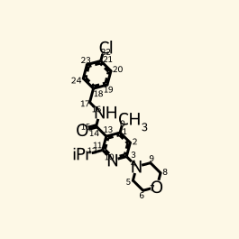 Cc1cc(N2CCOCC2)nc(C(C)C)c1C(=O)NCc1ccc(Cl)cc1